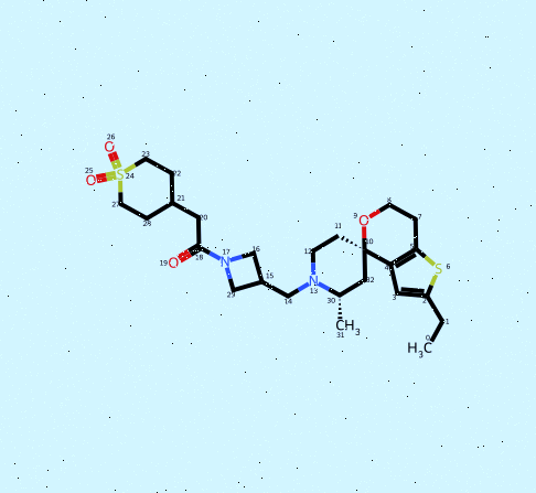 CCc1cc2c(s1)CCO[C@@]21CCN(CC2CN(C(=O)CC3CCS(=O)(=O)CC3)C2)[C@@H](C)C1